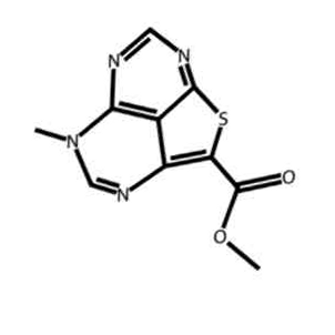 COC(=O)c1sc2ncnc3c2c1N=CN3C